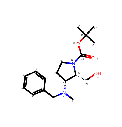 CN(Cc1ccccc1)[C@@H]1CCN(C(=O)OC(C)(C)C)[C@@H]1CO